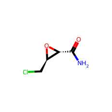 NC(=O)[C@H]1O[C@@H]1CCl